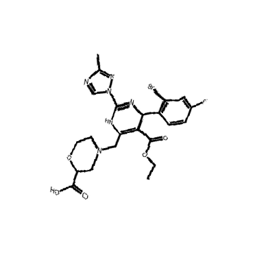 CCOC(=O)C1=C(CN2CCOC(C(=O)O)C2)NC(n2cnc(C)n2)=NC1c1ccc(F)cc1Br